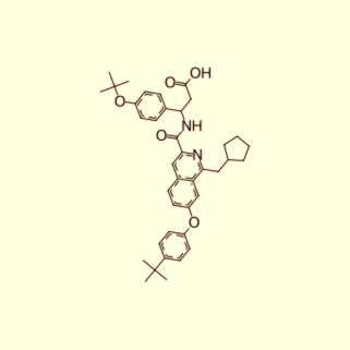 CC(C)(C)Oc1ccc(C(CC(=O)O)NC(=O)c2cc3ccc(Oc4ccc(C(C)(C)C)cc4)cc3c(CC3CCCC3)n2)cc1